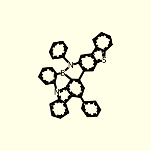 c1ccc(-c2cc3c4c5c2c2ccccc2n5-c2ccccc2B4N(c2ccccc2)c2cc4c(cc2-3)sc2ccccc24)cc1